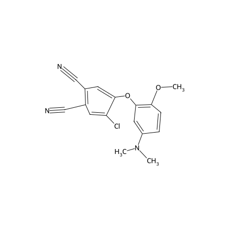 COc1ccc(N(C)C)cc1Oc1cc(C#N)c(C#N)cc1Cl